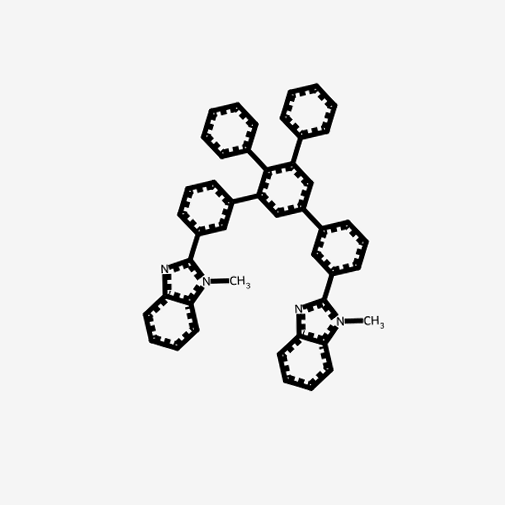 Cn1c(-c2cccc(-c3cc(-c4ccccc4)c(-c4ccccc4)c(-c4cccc(-c5nc6ccccc6n5C)c4)c3)c2)nc2ccccc21